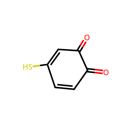 O=C1C=CC(S)=CC1=O